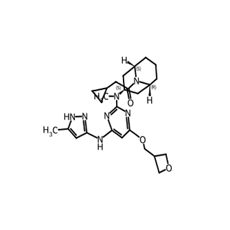 Cc1cc(Nc2cc(OCC3COC3)nc(N(C)[C@@H]3C[C@H]4CCC[C@@H](C3)N4C(=O)CC3CC3)n2)n[nH]1